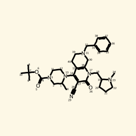 CC1CN(C(=O)OC(C)(C)C)CCN1c1c2c(n(CC3CCCN3C)c(=O)c1C#N)CN(Cc1ccccc1)CC2